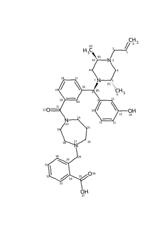 C=CCN1C[C@H](C)N([C@@H](c2cccc(O)c2)c2cccc(C(=O)N3CCCN(Cc4ccccc4C(=O)O)CC3)c2)C[C@H]1C